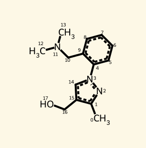 Cc1nn(-c2ccccc2CN(C)C)cc1CO